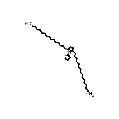 CCCCCCCCCCCCCCCCc1ccc(CCCCCCCCCCCCCCCC)n1-c1cccs1